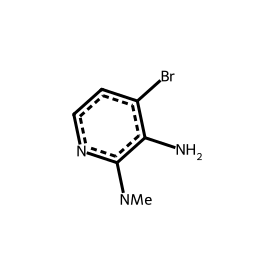 CNc1nccc(Br)c1N